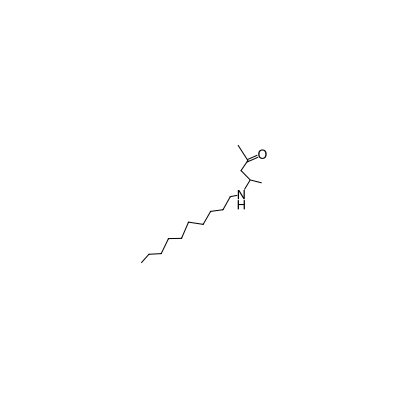 CCCCCCCCCCNC(C)CC(C)=O